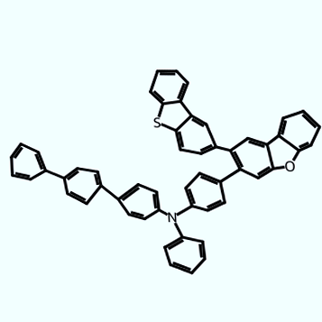 c1ccc(-c2ccc(-c3ccc(N(c4ccccc4)c4ccc(-c5cc6oc7ccccc7c6cc5-c5ccc6sc7ccccc7c6c5)cc4)cc3)cc2)cc1